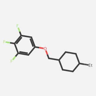 CCC1CCC(COc2cc(F)c(F)c(F)c2)CC1